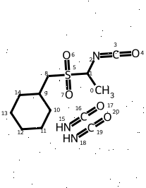 CC(N=C=O)S(=O)(=O)CC1CCCCC1.N=C=O.N=C=O